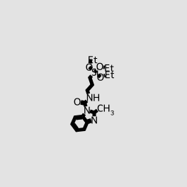 CCO[Si](CCCNC(=O)N1C2=CC=CCC2=NC1C)(OCC)OCC